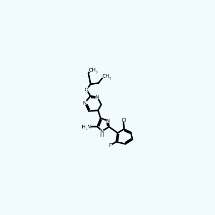 CCC(CC)OC1=NCC(c2nc(-c3c(F)cccc3Cl)[nH]c2N)C=N1